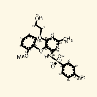 COc1ccccc1Oc1c(NS(=O)(=O)c2ccc(C(C)C)cc2)nc(C)nc1OCCO